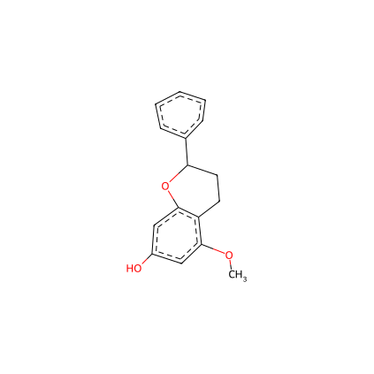 COc1cc(O)cc2c1CCC(c1ccccc1)O2